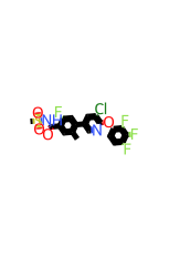 Cc1cc(C(=O)NS(C)(=O)=O)c(F)cc1-c1cnc(Oc2ccc(F)c(F)c2F)c(Cl)c1